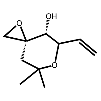 C=CC1OC(C)(C)C[C@@]2(CO2)[C@@H]1O